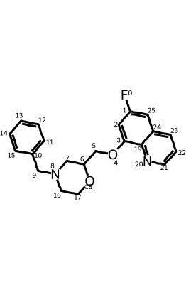 Fc1cc(OCC2CN(Cc3ccccc3)CCO2)c2ncccc2c1